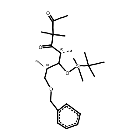 CC(=O)C(C)(C)C(=O)[C@H](C)C(O[Si](C)(C)C(C)(C)C)[C@@H](C)COCc1ccccc1